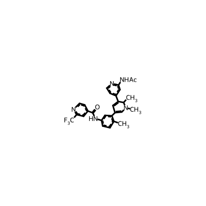 CC(=O)Nc1cc(C2=CC(c3cc(NC(=O)c4ccnc(C(F)(F)F)c4)ccc3C)=CN(C)C2C)ccn1